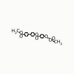 C=COC(=O)c1ccc(-c2ccc(OC(=O)c3ccc(OCCOC(=O)C=C)cc3)cc2)cc1